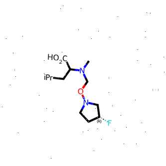 CC(C)CC(C(=O)O)N(C)CON1CC[C@@H](F)C1